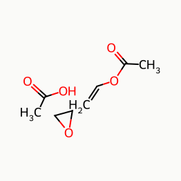 C1CO1.C=COC(C)=O.CC(=O)O